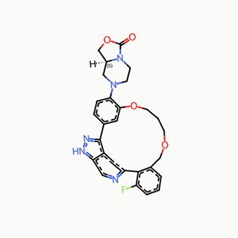 O=C1OC[C@@H]2CN(c3ccc4cc3OCCCOCc3cccc(F)c3-c3cc5c-4n[nH]c5cn3)CCN12